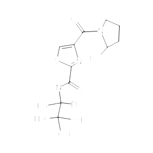 BC(B)(NC(=O)c1nc(C(=O)N2CCCC2C)cs1)C(C)(C)O